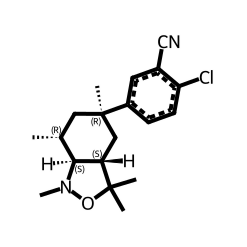 C[C@@H]1C[C@@](C)(c2ccc(Cl)c(C#N)c2)C[C@H]2[C@H]1N(C)OC2(C)C